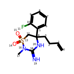 C=CCCC1(c2ccccc2F)CS(=O)(=O)N(C)C(=N)N1